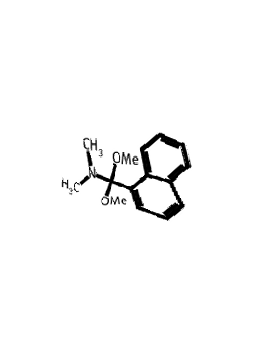 COC(OC)(c1cccc2ccccc12)N(C)C